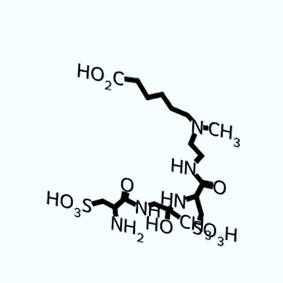 CN(CCCCCC(=O)O)CCNC(=O)C(CS(=O)(=O)O)NC(C)(O)CNC(=O)C(N)CS(=O)(=O)O